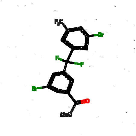 COC(=O)c1cc(Br)cc(C(F)(F)c2cc(Br)cc(C(F)(F)F)c2)c1